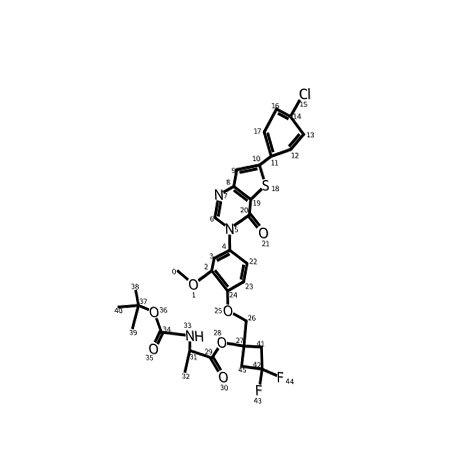 COc1cc(-n2cnc3cc(-c4ccc(Cl)cc4)sc3c2=O)ccc1OCC1(OC(=O)C(C)NC(=O)OC(C)(C)C)CC(F)(F)C1